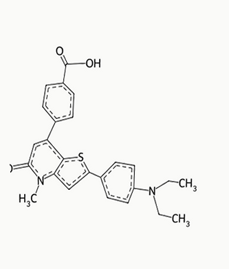 CCN(CC)c1ccc(-c2cc3c(s2)c(-c2ccc(C(=O)O)cc2)cc(=O)n3C)cc1